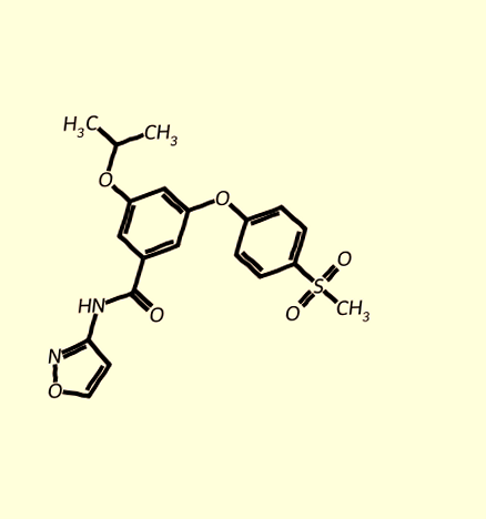 CC(C)Oc1cc(Oc2ccc(S(C)(=O)=O)cc2)cc(C(=O)Nc2ccon2)c1